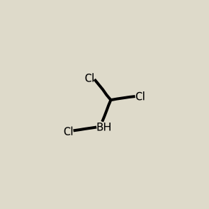 ClBC(Cl)Cl